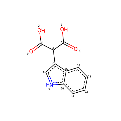 O=C(O)C(C(=O)O)c1c[nH]c2ccccc12